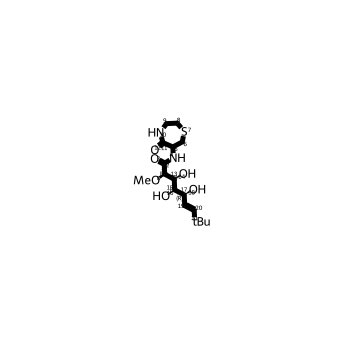 CO[C@@H](C(=O)NC1CSCCNC1=O)[C@H](O)[C@@H](O)[C@H](O)C=CC(C)(C)C